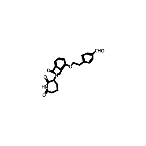 O=Cc1ccc(CCOc2cccc3c2CN(C2CCCC(=O)NC2=O)C3=O)cc1